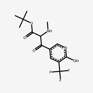 CNC(C(=O)OC(C)(C)C)C(=O)c1cnc(O)c(C(F)(F)F)c1